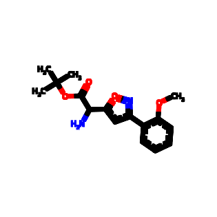 COc1ccccc1-c1cc(C(N)C(=O)OC(C)(C)C)on1